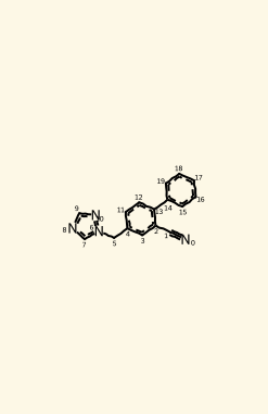 N#Cc1cc(Cn2cncn2)ccc1-c1ccccc1